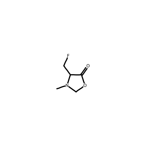 CN1COC(=O)C1CF